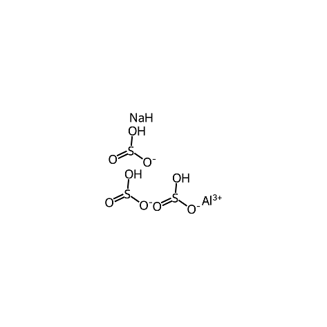 O=S([O-])O.O=S([O-])O.O=S([O-])O.[Al+3].[NaH]